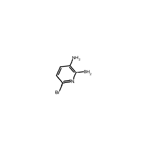 Bc1nc(Br)ccc1N